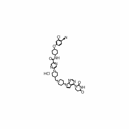 Cl.N#Cc1ccc(OC2CCC(NC(=O)c3cnc(N4CCC(CN5CCC(n6ccc7c(N8CCC(=O)NC8=O)ncnc76)CC5)CC4)cn3)CC2)cc1Cl